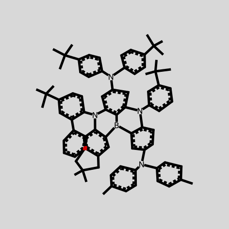 Cc1ccc(N(c2ccc(C)cc2)c2ccc3c(c2)B2c4cc5c(cc4N(c4ccc(C(C)(C)C)cc4-c4ccccc4)c4cc(N(c6ccc(C(C)(C)C)cc6)c6ccc(C(C)(C)C)cc6)cc(c42)N3c2cccc(C(C)(C)C)c2)CC(C)(C)C5)cc1